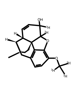 [2H]C([2H])([2H])Oc1ccc2c3c1OC1([2H])C([2H])(O)C=C[C@H]4[C@@H](C2)N(C)CC[C@@]341